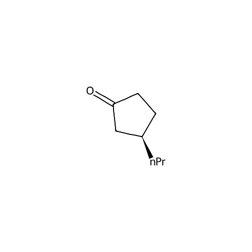 CCC[C@@H]1CCC(=O)C1